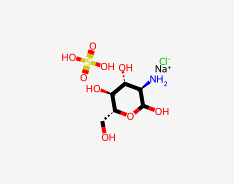 N[C@H]1C(O)O[C@H](CO)[C@@H](O)[C@@H]1O.O=S(=O)(O)O.[Cl-].[Na+]